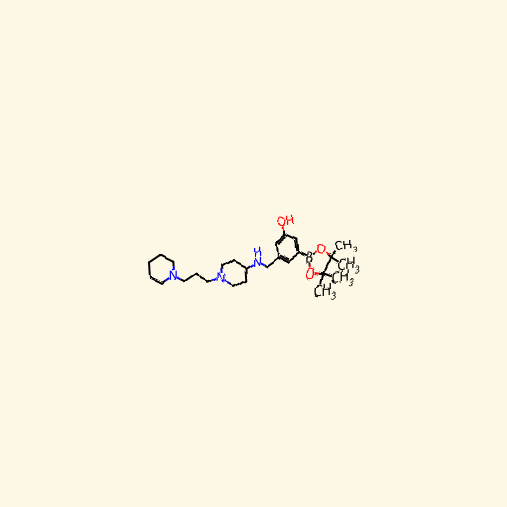 CC1(C)OB(c2cc(O)cc(CNC3CCN(CCCN4CCCCC4)CC3)c2)OC1(C)C